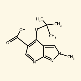 Cn1cc2c(OC(C)(C)C)c(C(=O)O)cnc2n1